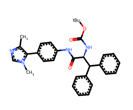 Cc1ncn(C)c1-c1ccc(NC(=O)[C@@H](NC(=O)OC(C)(C)C)C(c2ccccc2)c2ccccc2)cc1